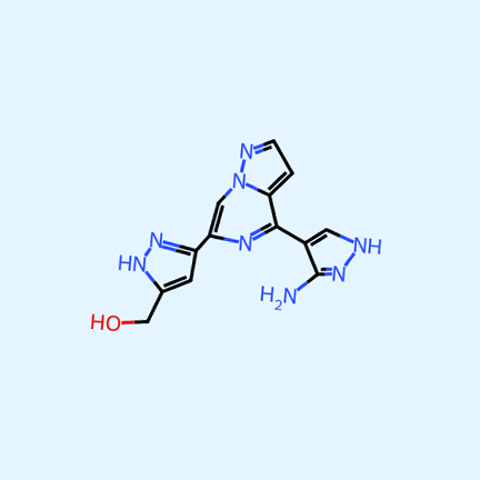 Nc1n[nH]cc1-c1nc(-c2cc(CO)[nH]n2)cn2nccc12